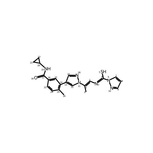 C/C(=C\N=C(/S)n1cccn1)n1cc(-c2cc(C(=O)NC3CC3)ccc2C)cn1